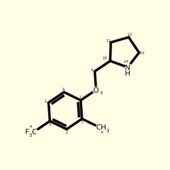 Cc1cc(C(F)(F)F)ccc1OCC1CCCN1